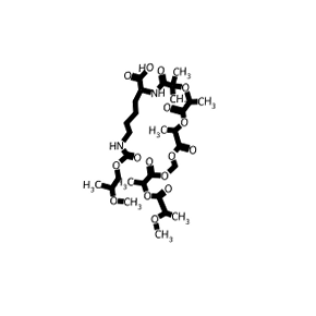 COC(C)COC(=O)NCCCCC(NC(=O)C(C)(C)OC(C)C(=O)OC(C)C(=O)OCOC(=O)C(C)OC(=O)C(C)OC)C(=O)O